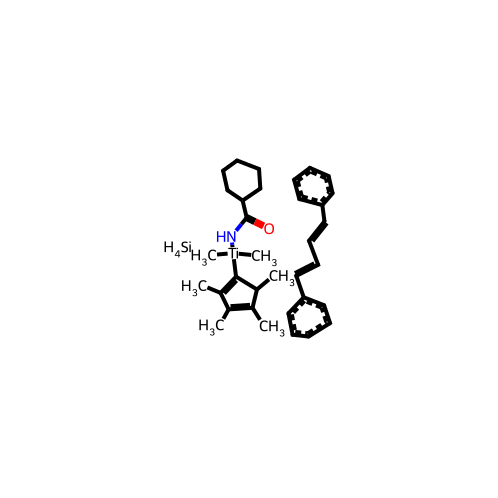 C(C=Cc1ccccc1)=Cc1ccccc1.CC1=C(C)C(C)[C]([Ti]([CH3])([CH3])[NH]C(=O)C2CCCCC2)=C1C.[SiH4]